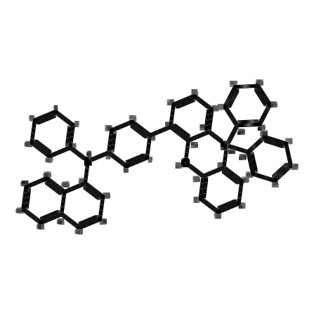 c1ccc(N(c2ccc(-c3cccc4c3Oc3ccccc3[Si]4(c3ccccc3)c3ccccc3)cc2)c2cccc3ccccc23)cc1